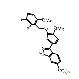 COc1ccc(-c2n[nH]c3cc(C(=O)O)ccc23)cc1OCc1c(OC)ccc(F)c1F